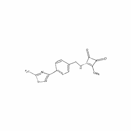 COc1c(NCc2ccc(-c3noc(C(F)(F)F)n3)cc2)c(=O)c1=O